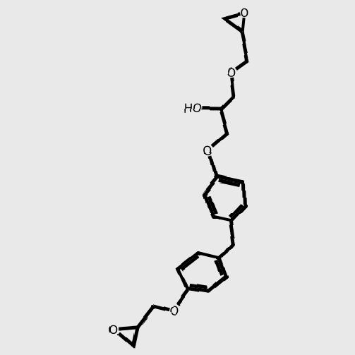 OC(COCC1CO1)COc1ccc(Cc2ccc(OCC3CO3)cc2)cc1